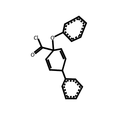 O=C(Cl)C1(Oc2ccccc2)C=CC(c2ccccc2)C=C1